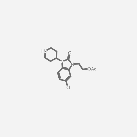 CC(=O)OCCn1c(=O)n(C2CCNCC2)c2ccc(Cl)cc21